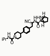 CC(C)NC(=O)N1CCC(c2ccc(C[C@@H](C#N)NC(=O)[C@H]3N[C@@H]4CC[C@H]3C4)cc2)CC1